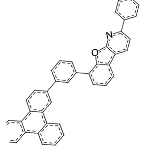 c1ccc(-c2ccc3c(n2)oc2c(-c4cccc(-c5ccc6c7ccccc7c7ccccc7c6c5)c4)cccc23)cc1